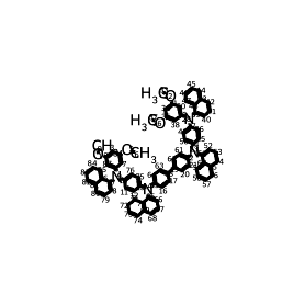 COc1cc(OC)cc(N(c2ccc(N(c3ccc(-c4ccc(N(c5ccc(N(c6cc(OC)cc(OC)c6)c6cccc7ccccc67)cc5)c5cccc6ccccc56)cc4)cc3)c3cccc4c3CCC=C4)cc2)c2cccc3ccccc23)c1